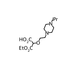 CCOC(=O)C(OCCN1CCN(C(C)C)CC1)C(=O)O